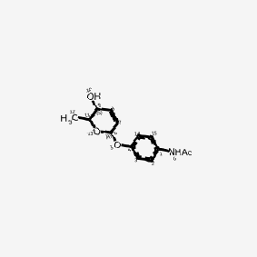 CC(=O)Nc1ccc(O[C@@H]2C=C[C@H](O)C(C)O2)cc1